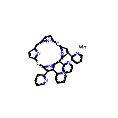 C1=Cc2cc3[nH]c(c(-c4ccccn4)c4nc(cc5ccc(cc1n2)[nH]5)C=C4c1ccccn1)c(-c1ccccn1)c3-c1ccccn1.[Mn]